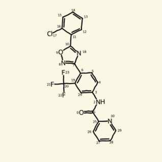 O=C(Nc1ccc(-c2noc(-c3ccccc3Cl)n2)c(C(F)(F)F)c1)c1ccccn1